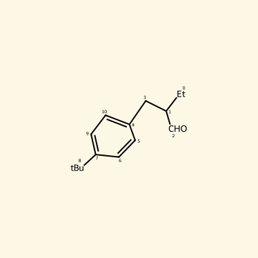 CCC(C=O)Cc1ccc(C(C)(C)C)cc1